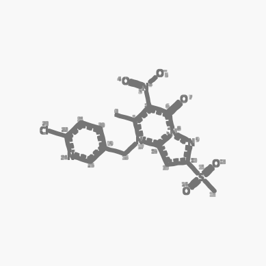 Cc1c([N+](=O)[O-])c(=O)n2nc(S(C)(=O)=O)cc2n1Cc1ccc(Cl)nc1